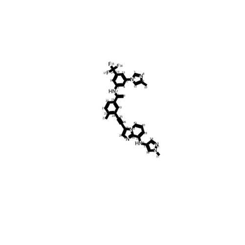 C=C(Nc1cc(-n2cnc(C)c2)cc(C(F)(F)F)c1)c1ccc(C)c(C#Cc2cnc3c(Nc4cnn(C)c4)cccn23)c1